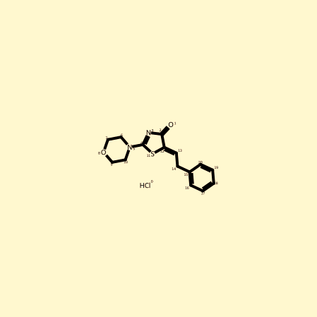 Cl.O=C1N=C(N2CCOCC2)SC1=CCc1ccccc1